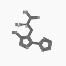 N[C@@H](Cc1c(O)noc1-c1nccs1)C(=O)O